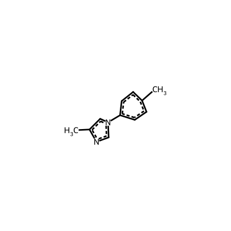 Cc1ccc(-n2cnc(C)c2)cc1